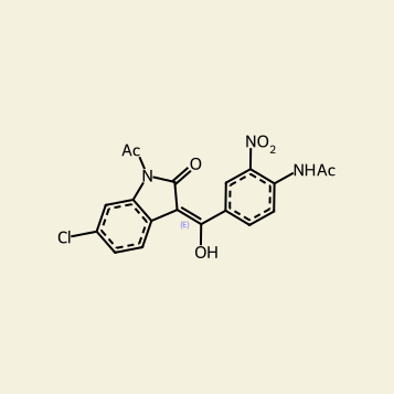 CC(=O)Nc1ccc(/C(O)=C2\C(=O)N(C(C)=O)c3cc(Cl)ccc32)cc1[N+](=O)[O-]